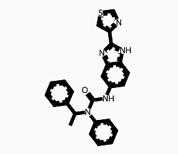 CC(c1ccccc1)N(C(=O)Nc1ccc2[nH]c(-c3cscn3)nc2c1)c1ccccc1